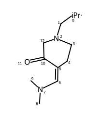 C[C](C)CN1CCC(=CN(C)C)C(=O)C1